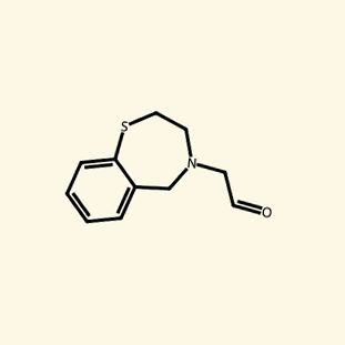 O=CCN1CCSc2ccccc2C1